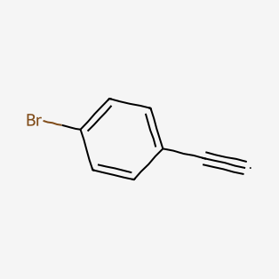 [C]#Cc1ccc(Br)cc1